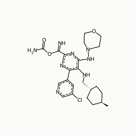 C[C@H]1CC[C@H](CNc2c(NN3CCOCC3)nc(C(=N)OC(N)=O)nc2-c2cncc(Cl)c2)CC1